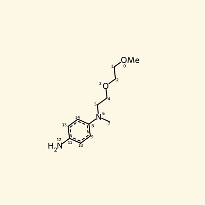 COCCOCCN(C)c1ccc(N)cc1